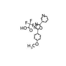 COc1ccc(-c2nnc(-c3cccnc3)o2)cc1.O=C(O)C(F)(F)F